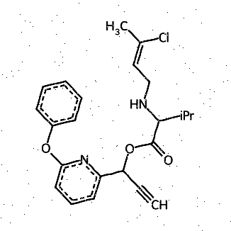 C#CC(OC(=O)C(NCC=C(C)Cl)C(C)C)c1cccc(Oc2ccccc2)n1